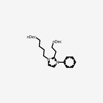 CCCCCCCCCCCCCC[n+]1ccn(-c2ccccc2)c1CCCCCCCCCCCC